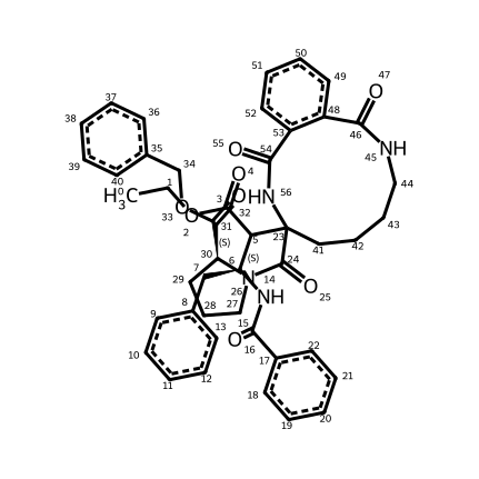 CCOC(=O)C([C@H](Cc1ccccc1)NC(=O)c1ccccc1)C1(C(=O)N2CCC[C@H]2C(=O)OCc2ccccc2)CCCCNC(=O)c2ccccc2C(=O)N1